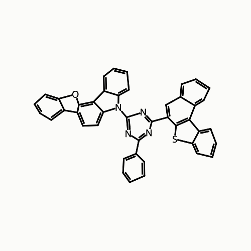 c1ccc(-c2nc(-c3cc4ccccc4c4c3sc3ccccc34)nc(-n3c4ccccc4c4c5oc6ccccc6c5ccc43)n2)cc1